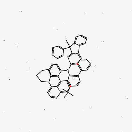 CC(C)(C)c1ccc(-c2ccccc2)c(N(c2ccc3c(c2)C(C)(c2ccccc2)c2ccccc2-3)c2ccccc2-c2cccc3cccc(C4CCCCC4)c23)c1